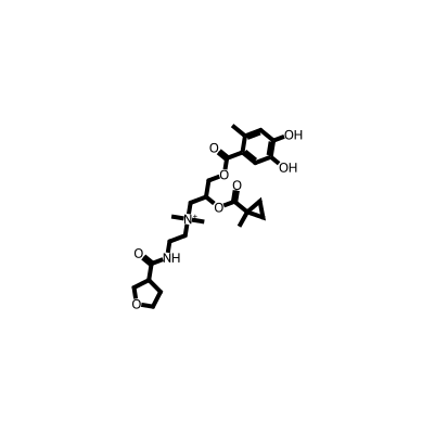 Cc1cc(O)c(O)cc1C(=O)OCC(C[N+](C)(C)CCNC(=O)C1CCOC1)OC(=O)C1(C)CC1